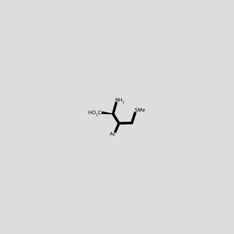 CSCC(C(C)=O)[C@H](N)C(=O)O